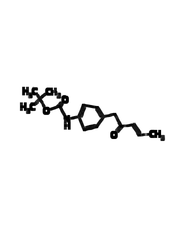 C/C=C/C(=O)Cc1ccc(NC(=O)OC(C)(C)C)cc1